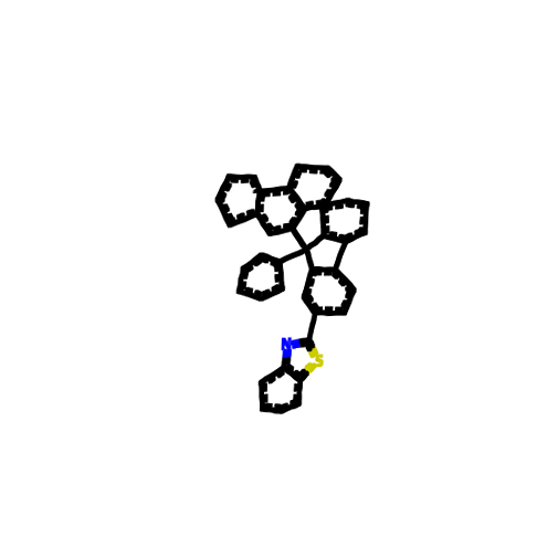 c1ccc(C2(c3cc4ccccc4c4ccccc34)c3ccccc3-c3ccc(-c4nc5ccccc5s4)cc32)cc1